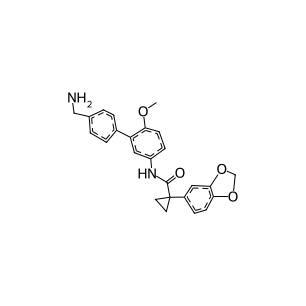 COc1ccc(NC(=O)C2(c3ccc4c(c3)OCO4)CC2)cc1-c1ccc(CN)cc1